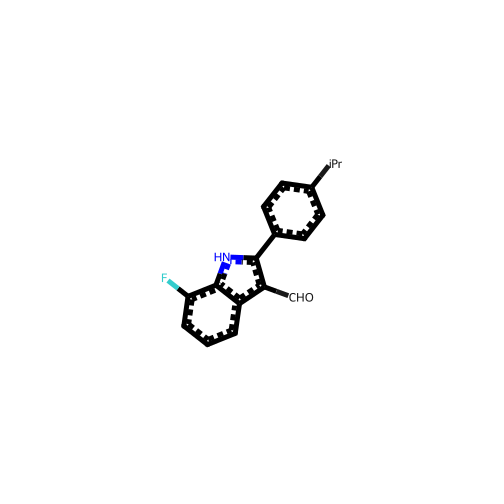 CC(C)c1ccc(-c2[nH]c3c(F)cccc3c2C=O)cc1